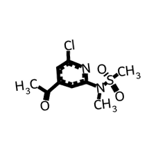 CC(=O)c1cc(Cl)nc(N(C)S(C)(=O)=O)c1